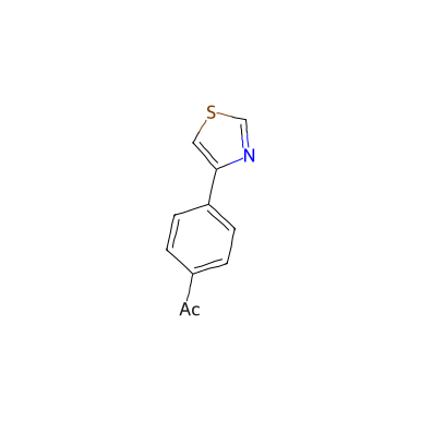 CC(=O)c1ccc(-c2cscn2)cc1